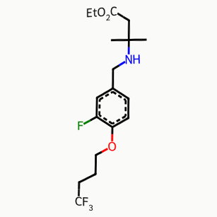 CCOC(=O)CC(C)(C)NCc1ccc(OCCCC(F)(F)F)c(F)c1